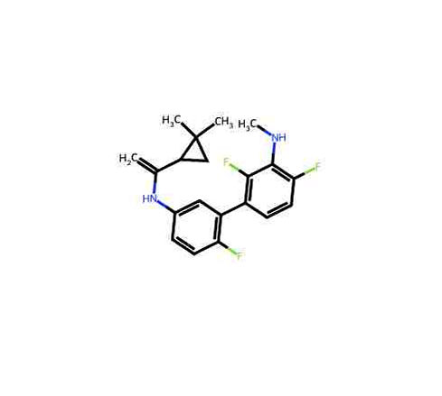 C=C(Nc1ccc(F)c(-c2ccc(F)c(NC)c2F)c1)C1CC1(C)C